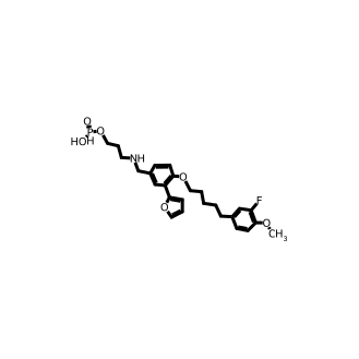 COc1ccc(CCCCCOc2ccc(CNCCCO[PH](=O)O)cc2-c2ccco2)cc1F